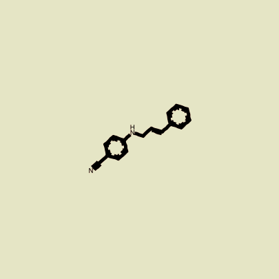 N#Cc1ccc(NCC=Cc2ccccc2)cc1